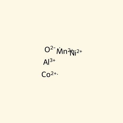 [Al+3].[Co+2].[Mn+2].[Ni+2].[O-2]